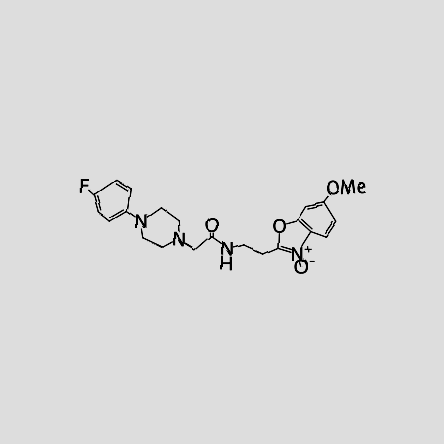 COc1ccc2c(c1)oc(CCNC(=O)CN1CCN(c3ccc(F)cc3)CC1)[n+]2[O-]